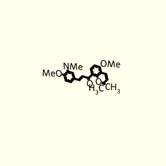 CNc1cc(C=CC(=O)c2ccc(OC)c3c2OC(C)(C)C=C3)ccc1OC